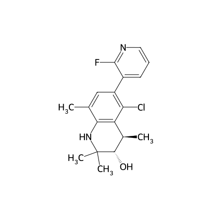 Cc1cc(-c2cccnc2F)c(Cl)c2c1NC(C)(C)[C@@H](O)[C@@H]2C